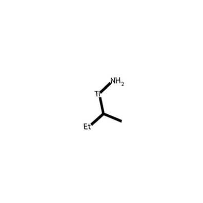 CC[CH](C)[Ti][NH2]